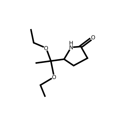 CCOC(C)(OCC)C1CCC(=O)N1